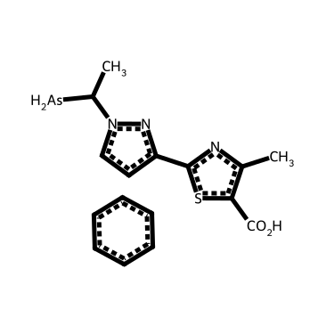 Cc1nc(-c2ccn(C(C)[AsH2])n2)sc1C(=O)O.c1ccccc1